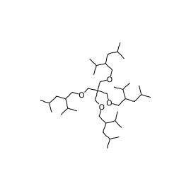 CC(C)CC(COCC(COCC(CC(C)C)C(C)C)(COCC(CC(C)C)C(C)C)COCC(CC(C)C)C(C)C)C(C)C